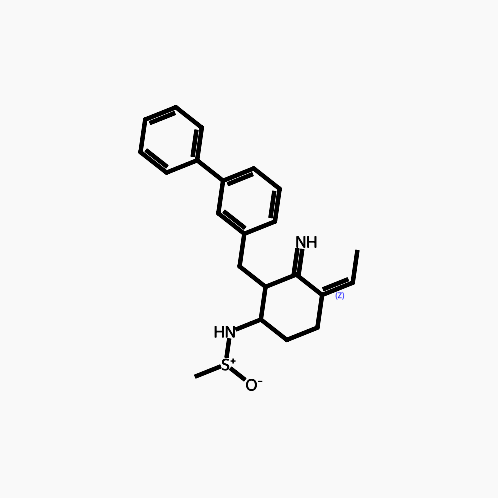 C/C=C1/CCC(N[S+](C)[O-])C(Cc2cccc(-c3ccccc3)c2)C1=N